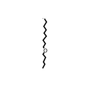 [CH2]CCCCCCCCOCCCCC